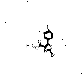 COC(=O)c1nc(Br)sc1-c1ccc(F)cc1